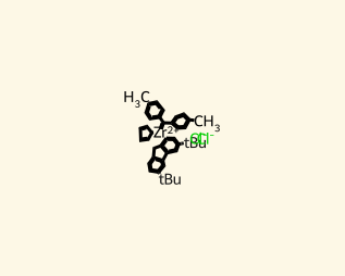 Cc1ccc([C](c2ccc(C)cc2)=[Zr+2]([c]2cc(C(C)(C)C)cc3c2Cc2ccc(C(C)(C)C)cc2-3)[CH]2C=CC=C2)cc1.[Cl-].[Cl-]